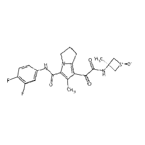 Cc1c(C(=O)C(=O)N[C@]2(C)C[S@+]([O-])C2)c2n(c1C(=O)Nc1ccc(F)c(F)c1)CCC2